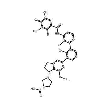 COc1nc(-c2cccc(-c3cccc(NC(=O)c4cn(C)c(=O)n(C)c4=O)c3Cl)c2Cl)cc2c1[C@H](N1CC[C@H](C(=O)O)C1)CC2